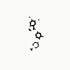 COc1cc2ncnc([AsH]c3ccc(OC4CCN(C(=O)O)CC4)c(C)c3)c2cc1OC